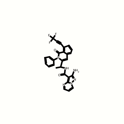 CC(NC(=O)c1c(N)nn2cccnc12)c1cc2cccc(C#CC(F)(F)F)c2c(=O)n1-c1ccccc1